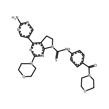 Nc1ncc(-c2nc(N3CCOCC3)nc3c2CCN3C(=S)Nc2ccc(C(=O)N3CCOCC3)cc2)cn1